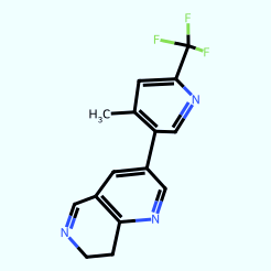 Cc1cc(C(F)(F)F)ncc1-c1cnc2c(c1)C=NCC2